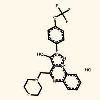 Oc1c2c(CN3CCOCC3)nc3ccccc3[n+]2nn1-c1ccc(OC(F)(F)F)cc1.[OH-]